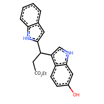 CCOC(=O)CC(c1cc2ccccc2[nH]1)c1c[nH]c2cc(O)ccc12